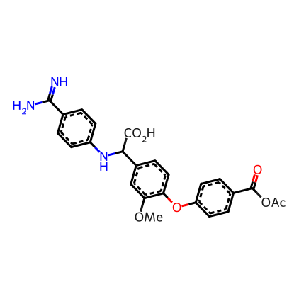 COc1cc(C(Nc2ccc(C(=N)N)cc2)C(=O)O)ccc1Oc1ccc(C(=O)OC(C)=O)cc1